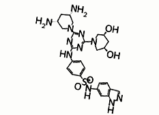 N[C@@H]1C[C@H](N)CN(c2nc(Nc3ccc(S(=O)(=O)Nc4ccc5cn[nH]c5c4)cc3)nc(N3C[C@H](O)C[C@H](O)C3)n2)C1